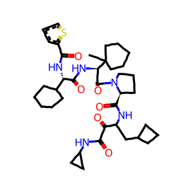 CC1([C@H](NC(=O)[C@@H](NC(=O)c2cccs2)C2CCCCC2)C(=O)N2CCC[C@H]2C(=O)NC(CC2CCC2)C(=O)C(=O)NC2CC2)CCCCC1